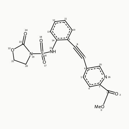 COC(=O)c1ccc(C#Cc2ccccc2NS(=O)(=O)N2CCOC2=O)cn1